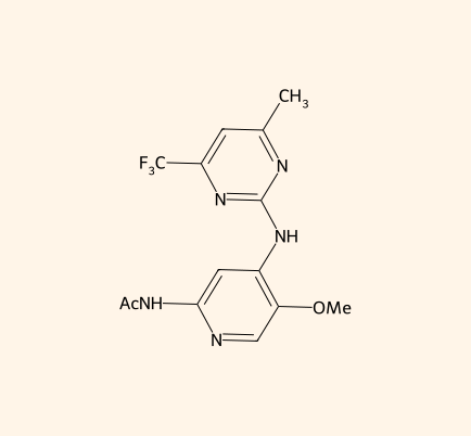 COc1cnc(NC(C)=O)cc1Nc1nc(C)cc(C(F)(F)F)n1